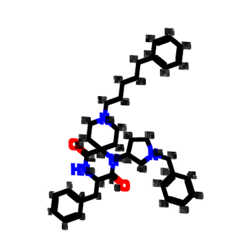 O=C1C(Cc2ccccc2)NC(=O)C2(CCN(CCCCCc3ccccc3)CC2)N1C1CCN(Cc2ccccc2)C1